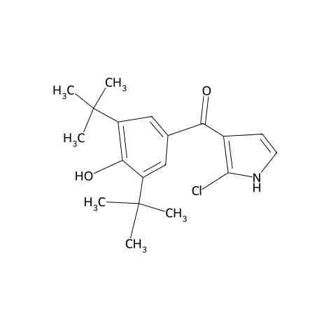 CC(C)(C)c1cc(C(=O)c2cc[nH]c2Cl)cc(C(C)(C)C)c1O